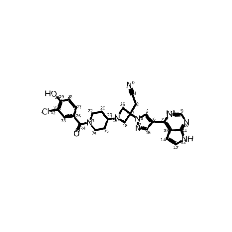 N#CCC1(n2cc(-c3ncnc4[nH]ccc34)cn2)CN(C2CCN(C(=O)c3ccc(O)c(Cl)c3)CC2)C1